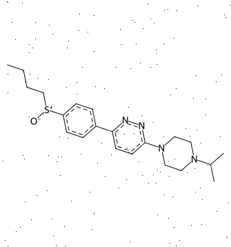 CCCC[S+]([O-])c1ccc(-c2ccc(N3CCN(C(C)C)CC3)nn2)cc1